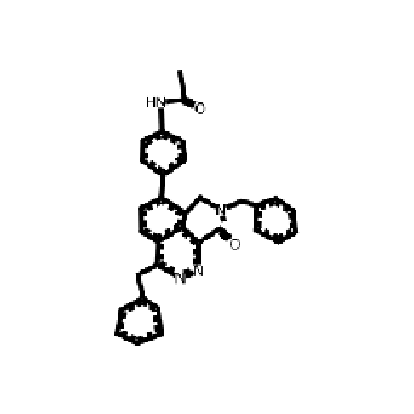 CC(=O)Nc1ccc(-c2ccc3c(Cc4ccccc4)nnc(C=O)c3c2CN(C)Cc2ccccc2)cc1